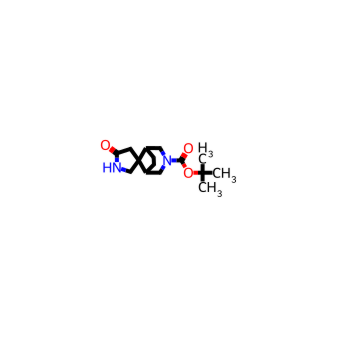 CC(C)(C)OC(=O)N1CC2CCC(C1)C21CNC(=O)C1